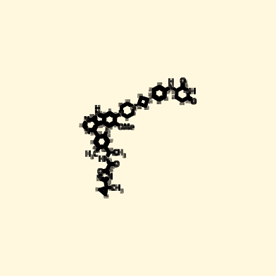 COc1cc2c(cc1N1CCN([C@H]3C[C@@H](c4ccc(N[C@@H]5CCC(=O)NC5=O)cc4)C3)CC1)[nH]c1ncnc(-c3cc(C)c([C@@H](C)NC(=O)c4nc(C5(C)CC5)no4)cc3F)c12